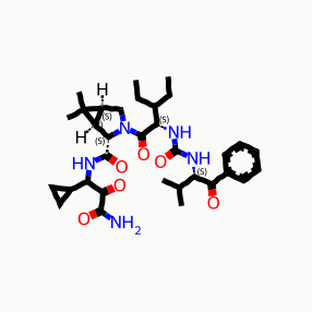 CCC(CC)[C@H](NC(=O)N[C@H](C(=O)c1ccccc1)C(C)C)C(=O)N1C[C@H]2[C@@H]([C@H]1C(=O)NC(C(=O)C(N)=O)C1CC1)C2(C)C